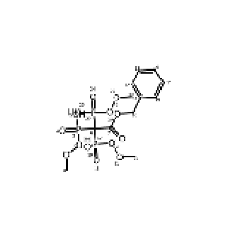 COOP(=O)(O)C(C(=O)OCc1ccccc1)(P(=O)(O)OOC)P(=O)(O)OOC